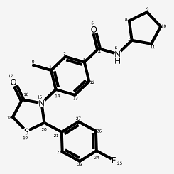 Cc1cc(C(=O)NC2CCCC2)ccc1N1C(=O)CSC1c1ccc(F)cc1